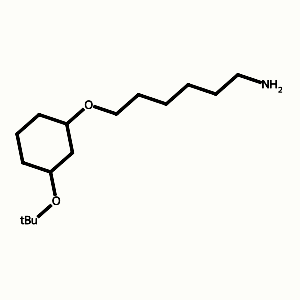 CC(C)(C)OC1CCCC(OCCCCCCN)C1